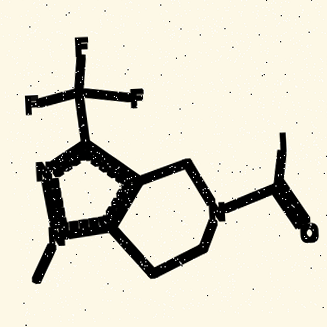 Cn1nc(C(F)(F)F)c2c1CCN(C(=O)I)C2